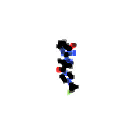 Cc1c(C(=O)N2CCN(C3CC3F)CC2)cnn1-c1nn2cccc2c(=O)[nH]1